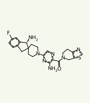 Nc1nc(N2CCC3(CC2)Cc2ccc(F)cc2[C@H]3N)cnc1C(=O)N1CCc2ncsc2C1